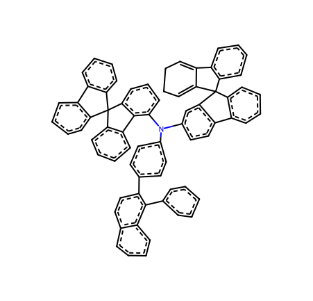 C1=C2C(=CCC1)C1(c3ccccc32)c2ccccc2-c2ccc(N(c3ccc(-c4ccc5ccccc5c4-c4ccccc4)cc3)c3cccc4c3-c3ccccc3C43c4ccccc4-c4ccccc43)cc21